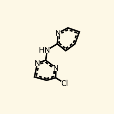 Clc1ccnc(Nc2ccccn2)n1